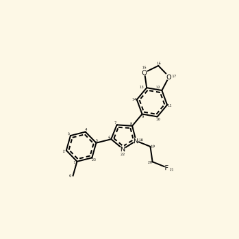 Cc1cccc(-c2cc(-c3ccc4c(c3)OCO4)n(CCF)n2)c1